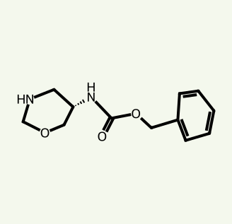 O=C(N[C@H]1CNCOC1)OCc1ccccc1